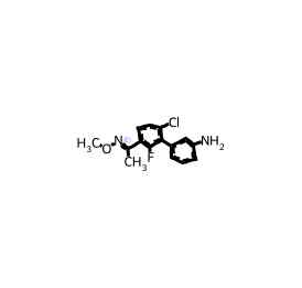 CO/N=C(\C)c1ccc(Cl)c(-c2cccc(N)c2)c1F